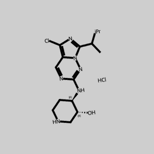 CC(C)C(C)c1nc(Cl)c2cnc(N[C@@H]3CCNC[C@H]3O)nn12.Cl